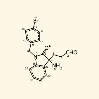 NC1(CCC=O)C(=O)N(Cc2ccc(Br)cc2)c2ccccc21